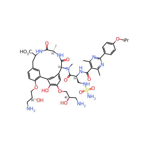 Cc1nc(-c2ccc(OC(C)C)cc2)nc(C)c1C(=O)N[C@@H](CNS(N)(=O)=O)C(=O)N(C)[C@@H]1C(=O)N[C@@H](C)C(=O)NC(C(=O)O)Cc2ccc(OC[C@H](O)CN)c(c2)-c2cc1cc(OC[C@H](O)CN)c2O